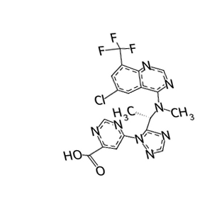 C[C@@H](c1ncnn1-c1cc(C(=O)O)ncn1)N(C)c1ncnc2c(C(F)(F)F)cc(Cl)cc12